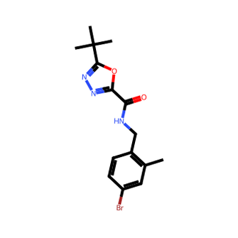 Cc1cc(Br)ccc1CNC(=O)c1nnc(C(C)(C)C)o1